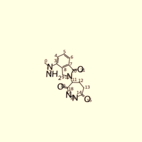 CN(N)c1cccc2c1CN(C1CCC(=O)N=NC1=O)C2=O